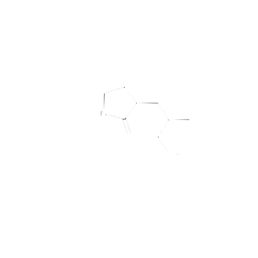 CCCCCCC(C)CC1CCNC1=O